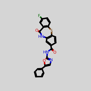 O=C(Nc1ncc(-c2ccccc2)o1)c1ccc2c(c1)NC(=O)c1cc(F)ccc1S2